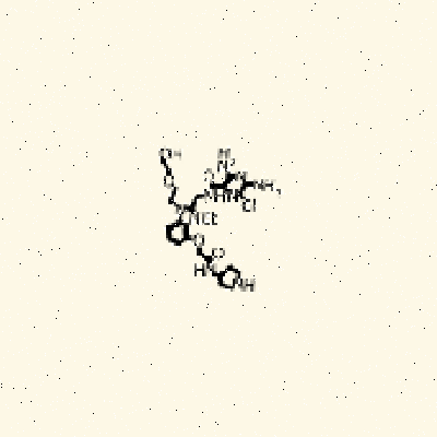 CC[n+]1c(CNC(=O)c2nc(Cl)c(N)nc2N)n(CCOCCO)c2cccc(OCC(=O)NC3CCNCC3)c21